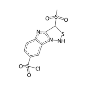 CS(=O)(=O)C1SNn2c1nc1ccc(S(=O)(=O)Cl)cc12